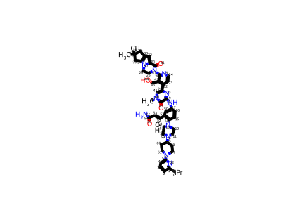 CC(C)c1cccc(N2CCC(N3CCN(c4ccc(Nc5nc(-c6ccnc(N7CCn8c(cc9c8CC(C)(C)C9)C7=O)c6CO)cn(C)c5=O)cc4C=CC(N)=O)[C@@H](C)C3)CC2)n1